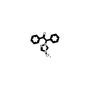 O=C(c1ccccc1)C(c1ccccc1)N1CN(C(F)(F)F)C=N1